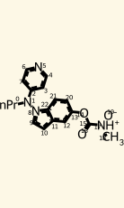 CCCN(c1ccncc1)n1ccc2cc(OC(=O)[NH+](C)[O-])ccc21